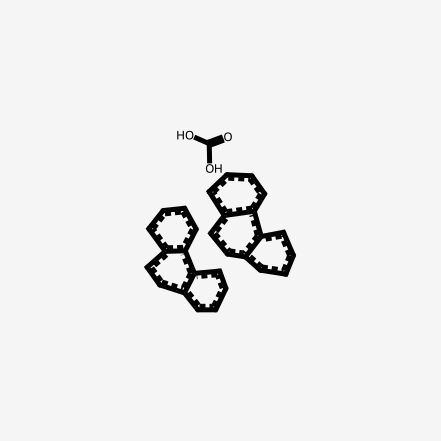 O=C(O)O.c1ccc2c(c1)ccc1ccccc12.c1ccc2c(c1)ccc1ccccc12